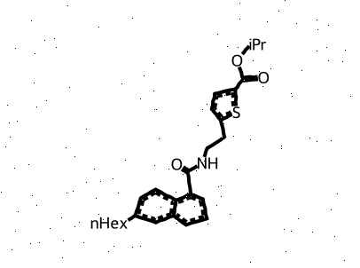 CCCCCCc1ccc2c(C(=O)NCCc3ccc(C(=O)OC(C)C)s3)cccc2c1